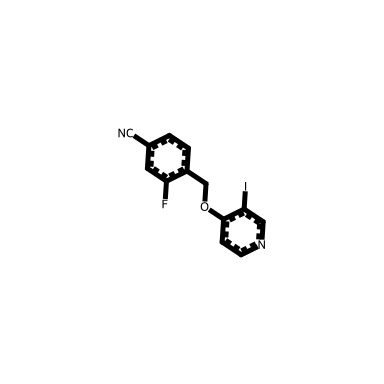 N#Cc1ccc(COc2ccncc2I)c(F)c1